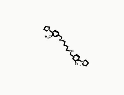 Cc1cc(CNCCCCNCc2ccc(N3CCCC3)c(C)c2)ccc1N1CCCC1